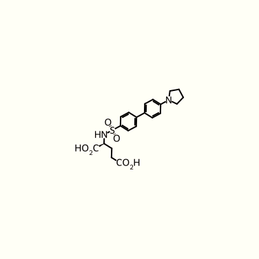 O=C(O)CC[C@H](NS(=O)(=O)c1ccc(-c2ccc(N3CCCC3)cc2)cc1)C(=O)O